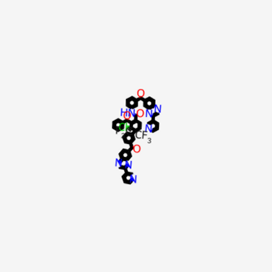 O=C(Nc1cccc(C(=O)c2ccc3ncc(-c4cccnc4)nc3c2)c1)C1=C(C(=O)c2ccccc2)C(Cl)(C(F)(F)F)C(c2cccc(C(=O)c3ccc4ncc(-c5cccnc5)nc4c3)c2)(C(F)(F)F)C=C1